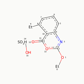 CCOc1nc2cccc(CC)c2c(=O)o1.O=S(=O)(O)O